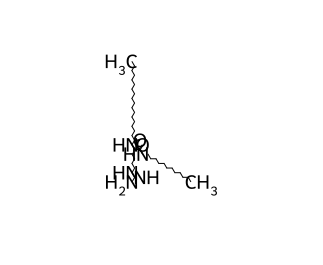 CCCCCCCCCCCCCCCCCC(=O)N[C@@H](CCCCNC(=N)N)C(=O)NCCCCCCCCCCCC